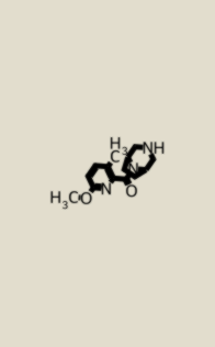 COc1ccc(C)c(C(=O)N2C3CCC2CNC3)n1